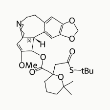 COC1=CC23CCCN2CCc2cc4c(cc2[C@@H]3C1OC(=O)C1(CC(=O)SC(C)(C)C)CCCC(C)(C)O1)OCO4